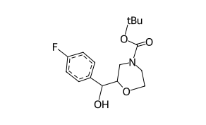 CC(C)(C)OC(=O)N1CCOC(C(O)c2ccc(F)cc2)C1